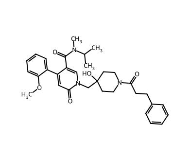 COc1ccccc1-c1cc(=O)n(CC2(O)CCN(C(=O)CCc3ccccc3)CC2)cc1C(=O)N(C)C(C)C